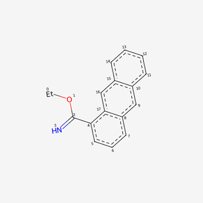 CCOC(=N)c1cccc2cc3ccccc3cc12